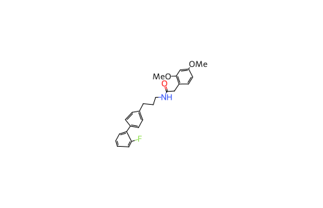 COc1ccc(CC(=O)NCCCc2ccc(-c3ccccc3F)cc2)c(OC)c1